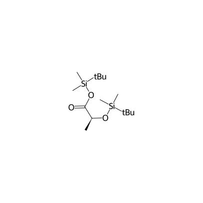 C[C@H](O[Si](C)(C)C(C)(C)C)C(=O)O[Si](C)(C)C(C)(C)C